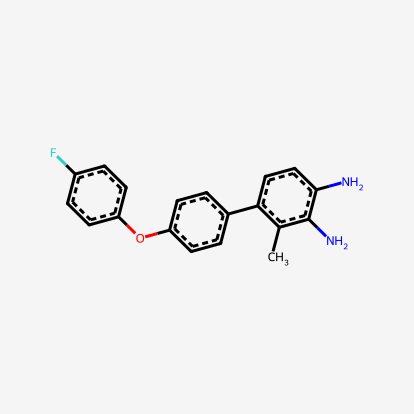 Cc1c(-c2ccc(Oc3ccc(F)cc3)cc2)ccc(N)c1N